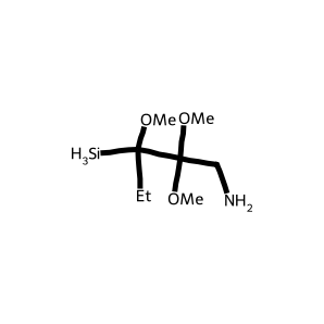 CCC([SiH3])(OC)C(CN)(OC)OC